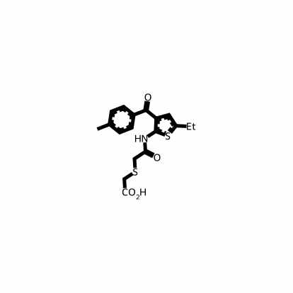 CCc1cc(C(=O)c2ccc(C)cc2)c(NC(=O)CSCC(=O)O)s1